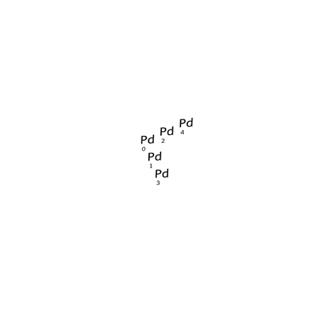 [Pd].[Pd].[Pd].[Pd].[Pd]